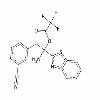 N#Cc1cccc(CC(N)(OC(=O)C(F)(F)F)c2nc3ccccc3s2)c1